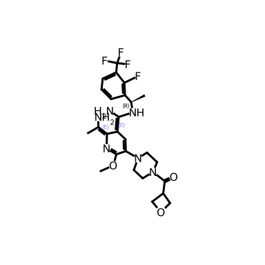 COc1nc(=C(\C)N)/c(=C(\N)N[C@H](C)c2cccc(C(F)(F)F)c2F)cc1N1CCN(C(=O)C2COC2)CC1